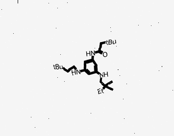 CCC(C)(C)CNc1cc(NCCC(C)(C)C)cc(NC(=O)CC(C)(C)C)c1